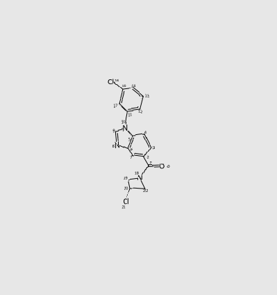 O=C(c1ccc2c(c1)ncn2-c1cccc(Cl)c1)N1CC(Cl)C1